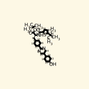 CC(C)(C)OC(=O)[C@H](Cc1ccc(-c2ncc(-c3ccc(O)cc3)cn2)cc1)NC(=O)c1ccc(C(C)(C)C)s1